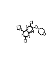 Clc1nc(N2CCC2)c2nc(Cl)c(OC3CCOCC3)nc2n1